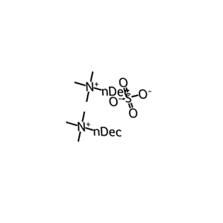 CCCCCCCCCC[N+](C)(C)C.CCCCCCCCCC[N+](C)(C)C.O=S(=O)([O-])[O-]